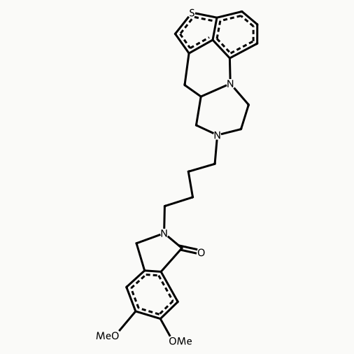 COc1cc2c(cc1OC)C(=O)N(CCCCN1CCN3c4cccc5scc(c45)CC3C1)C2